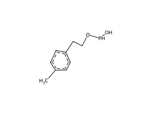 Cc1ccc(CCOPO)cc1